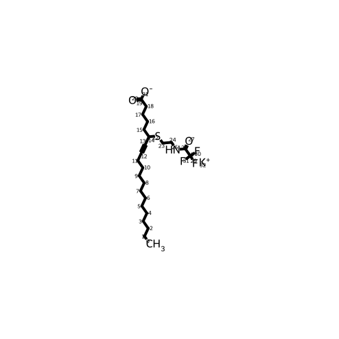 CCCCCCCCCCCCC#CC(CCCCC(=O)[O-])SCCNC(=O)C(F)(F)F.[K+]